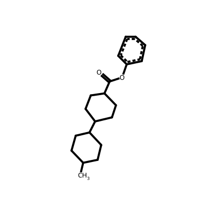 CC1CCC(C2CCC(C(=O)Oc3ccccc3)CC2)CC1